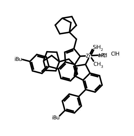 CC[CH2][Zr]([CH3])(=[SiH2])([CH]1C(CC23CCC(CC2)C3)=Cc2c(-c3ccc(C(C)CC)cc3)cccc21)[CH]1C(CC23CCC(CC2)C3)=Cc2c(-c3ccc(C(C)CC)cc3)cccc21.Cl.Cl